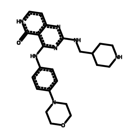 O=c1[nH]ccc2nc(NCC3CCNCC3)nc(Nc3ccc(N4CCOCC4)cc3)c12